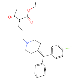 CCOC(=O)C(CCCN1CCC(=C(c2ccccc2)c2ccc(F)cc2)CC1)C(C)=O